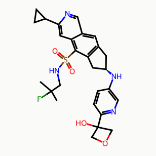 CC(C)(F)CNS(=O)(=O)c1c2c(cc3cnc(C4CC4)cc13)C[C@@H](Nc1ccc(C3(O)COC3)nc1)C2